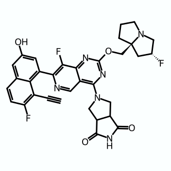 C#Cc1c(F)ccc2cc(O)cc(-c3ncc4c(N5CC6C(=O)NC(=O)C6C5)nc(OC[C@@]56CCCN5C[C@H](F)C6)nc4c3F)c12